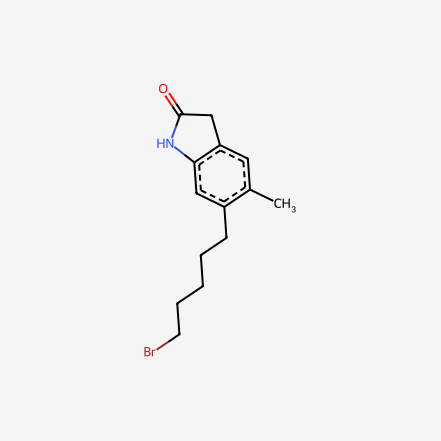 Cc1cc2c(cc1CCCCCBr)NC(=O)C2